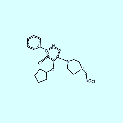 CCCCCCCCSN1CCN(c2cnn(-c3ccccc3)c(=O)c2OC2CCCC2)CC1